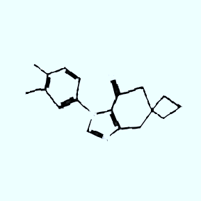 O=C1CC2(CCC2)Cc2ncn(-c3ccc(F)c(F)c3)c21